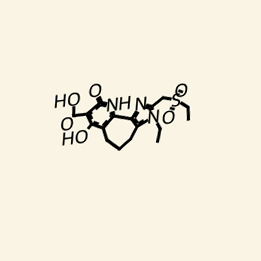 CCn1c(CS(=O)(=O)CC)nc2c1CCCc1c-2[nH]c(=O)c(C(=O)O)c1O